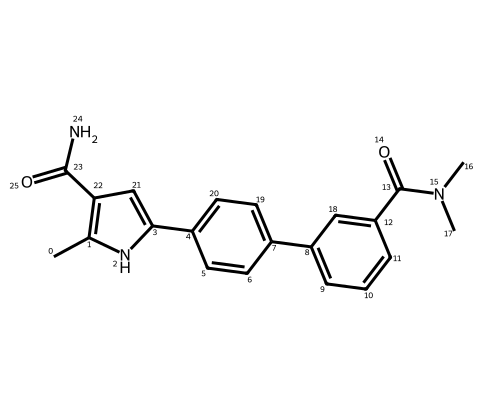 Cc1[nH]c(-c2ccc(-c3cccc(C(=O)N(C)C)c3)cc2)cc1C(N)=O